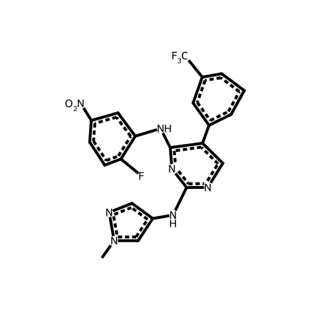 Cn1cc(Nc2ncc(-c3cccc(C(F)(F)F)c3)c(Nc3cc([N+](=O)[O-])ccc3F)n2)cn1